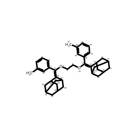 Cc1cccc(C(OCCOC(=C2C3CC4CC(C3)CC2C4)c2cccc(C)c2)=C2C3CC4CC(C3)CC2C4)c1